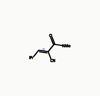 CNC(=O)/C(C#N)=C/C(C)C